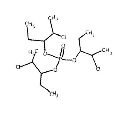 CCC(OP(=O)(OC(CC)C(C)Cl)OC(CC)C(C)Cl)C(C)Cl